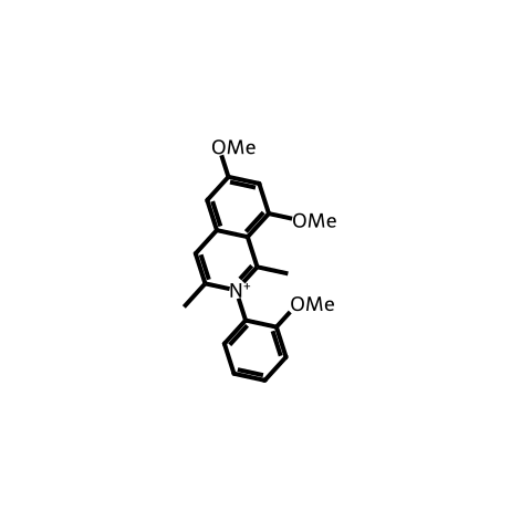 COc1cc(OC)c2c(C)[n+](-c3ccccc3OC)c(C)cc2c1